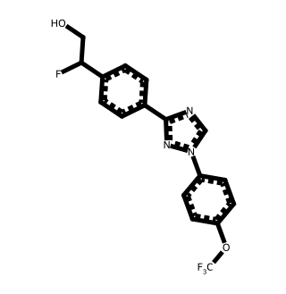 OCC(F)c1ccc(-c2ncn(-c3ccc(OC(F)(F)F)cc3)n2)cc1